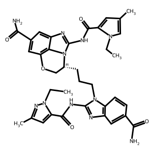 CCn1cc(C)cc1C(=O)Nc1nc2cc(C(N)=O)cc3c2n1[C@H](CCCn1c(NC(=O)c2cc(C)nn2CC)nc2cc(C(N)=O)ccc21)CO3